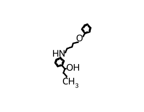 CCCC(O)c1cccc(NCCCCCOCc2ccccc2)c1